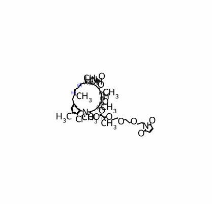 C/C1=C\C=C\[C@@H](C)[C@@]2(O)CC(OC(=O)N2)[C@@H](C)[C@@H]2O[C@@]2(C)[C@@H](OC(=O)[C@H](C)OCCOCCOCCN2C(=O)C=CC2=O)CC(=O)N(C)c2cc(cc(C)c2Cl)C1